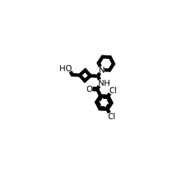 O=C(NC(C1CC(CO)C1)N1CCCCC1)c1ccc(Cl)cc1Cl